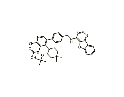 CC1(C)CCN(c2c(-c3ccc(CNc4ncnc5c4oc4ccccc45)cc3)cnc(Cl)c2[C@H](OC(C)(C)C)C(=O)O)CC1